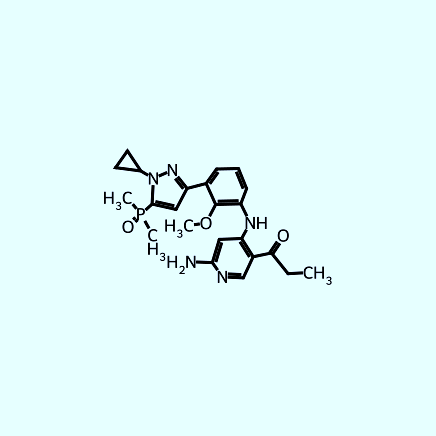 CCC(=O)c1cnc(N)cc1Nc1cccc(-c2cc(P(C)(C)=O)n(C3CC3)n2)c1OC